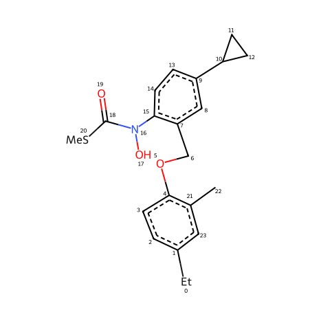 CCc1ccc(OCc2cc(C3CC3)ccc2N(O)C(=O)SC)c(C)c1